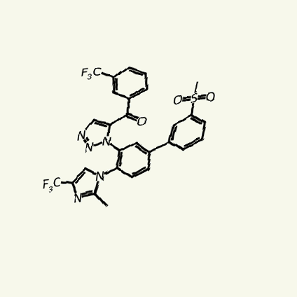 Cc1nc(C(F)(F)F)cn1-c1ccc(-c2cccc(S(C)(=O)=O)c2)cc1-n1nncc1C(=O)c1cccc(C(F)(F)F)c1